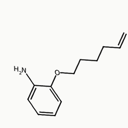 C=CCCCCOc1ccccc1N